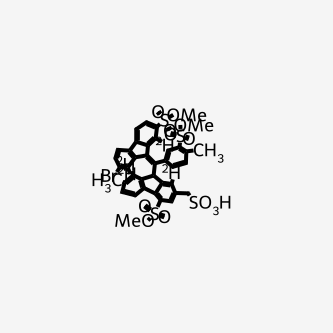 [2H]c1c(Br)ccc2c1/C(=C(/c1ccc(C)c(S(=O)(=O)OC)c1)C1c3c(ccc(C)c3[2H])-c3c(S(=O)(=O)OC)cc(CS(=O)(=O)O)c([2H])c31)c1c-2ccc(S(=O)(=O)OC)c1[2H]